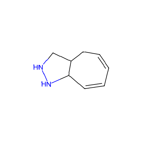 C1=CCC2CNNC2C=C1